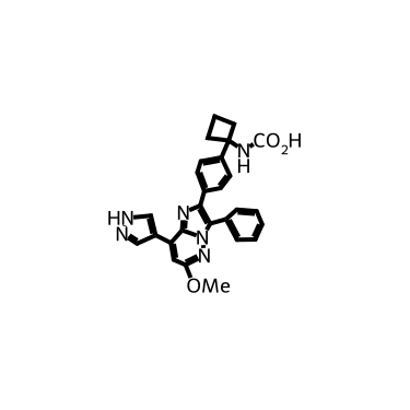 COc1cc(-c2cn[nH]c2)c2nc(-c3ccc(C4(NC(=O)O)CCC4)cc3)c(-c3ccccc3)n2n1